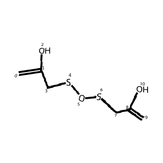 C=C(O)CSOSCC(=C)O